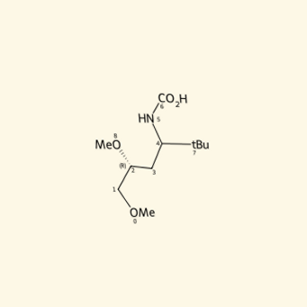 COC[C@@H](CC(NC(=O)O)C(C)(C)C)OC